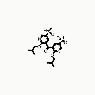 CC(C)COc1ncc(S(C)(=O)=O)cc1C(=O)c1cc(S(C)(=O)=O)cnc1OCC(C)C